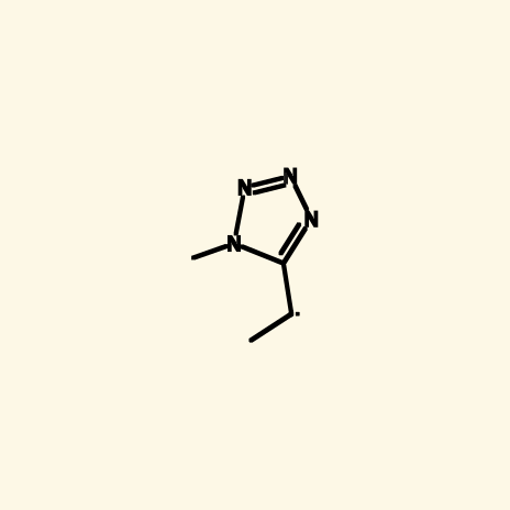 C[CH]c1nnnn1C